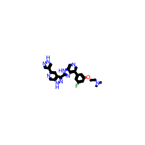 CN(C)CCOc1cc(F)cc(-c2cncc3[nH]c(-c4n[nH]c5cnc(-c6cn[nH]c6)cc45)nc23)c1